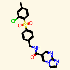 Cc1ccc(S(=O)(=O)c2ccc(CNC(=O)c3cnc4nccn4c3)cc2)c(Cl)c1